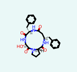 O=C1C[C@H](Cc2ccccc2)NC(=O)[C@@H]2CCCN2C(=O)[C@H](O)NC(=O)[C@H](Cc2ccccc2)N1